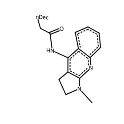 CCCCCCCCCCCC(=O)Nc1c2c(nc3ccccc13)N(C)CC2